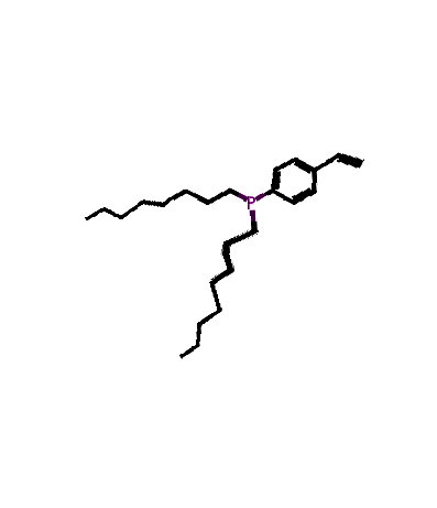 C=Cc1ccc(P(CCCCCCCC)CCCCCCCC)cc1